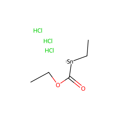 CCO[C](=O)[Sn][CH2]C.Cl.Cl.Cl